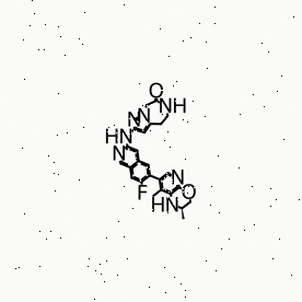 Cc1c(-c2cc3cc(Nc4cc5n(n4)CC(=O)NCC5)ncc3cc2F)cnc2c1N[C@H](C)CO2